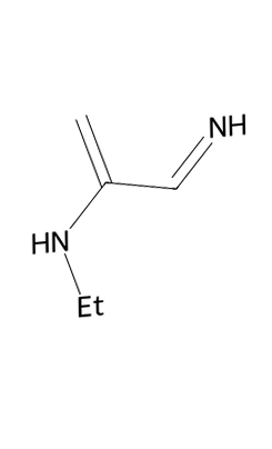 C=C(C=N)NCC